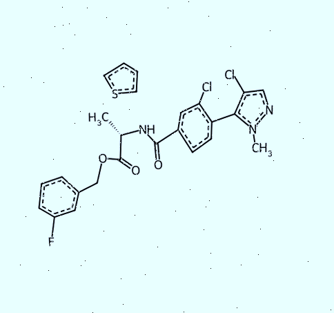 C[C@H](NC(=O)c1ccc(-c2c(Cl)cnn2C)c(Cl)c1)C(=O)OCc1cccc(F)c1.c1ccsc1